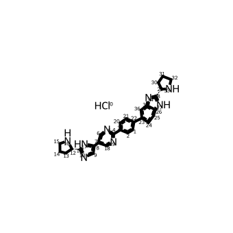 Cl.c1cc(-c2ncc(-c3cnc([C@@H]4CCCN4)[nH]3)cn2)ccc1-c1ccc2[nH]c([C@@H]3CCCN3)nc2c1